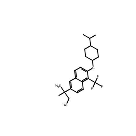 CC(C)C1CCC(Oc2ccc3cc(C(C)(N)CO)ccc3c2C(F)(F)F)CC1